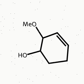 COC1C=CCCC1O